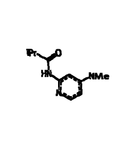 CNc1ccnc(NC(=O)C(C)C)c1